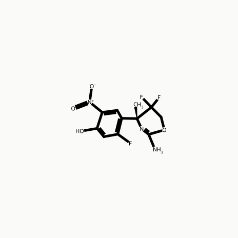 C[C@]1(c2cc([N+](=O)[O-])c(O)cc2F)N=C(N)OCC1(F)F